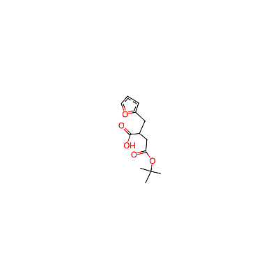 CC(C)(C)OC(=O)CC(Cc1ccco1)C(=O)O